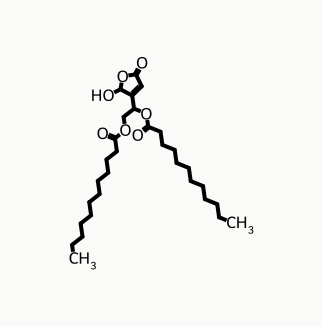 CCCCCCCCCCCC(=O)OCC(OC(=O)CCCCCCCCCCC)C1=CC(=O)OC1O